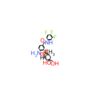 C[C@H]1C[C@H]2C[C@](O)(CO)CC1C2S(=O)(=O)c1cc(C(=O)Nc2cc(F)c(F)c(F)c2)ccc1N